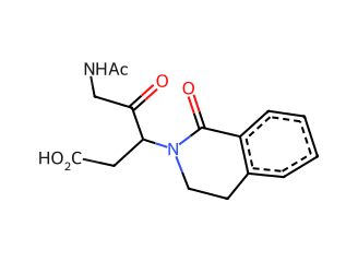 CC(=O)NCC(=O)C(CC(=O)O)N1CCc2ccccc2C1=O